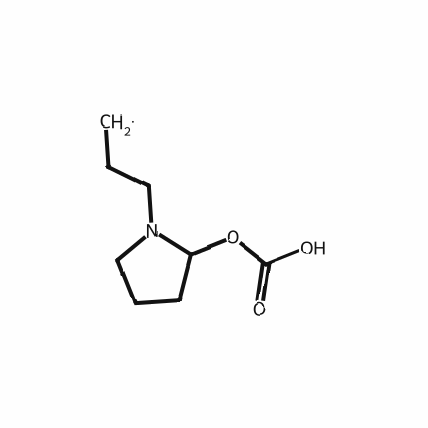 [CH2]CCN1CCCC1OC(=O)O